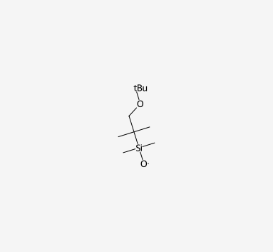 CC(C)(C)OCC(C)(C)[Si](C)(C)[O]